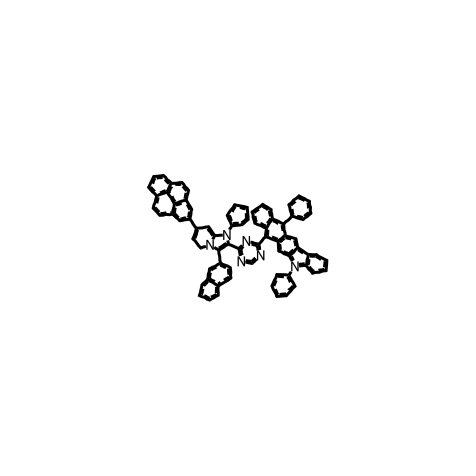 C1=C(c2cc3ccc4cccc5ccc(c2)c3c45)C=C2N(C1)C(c1ccc3ccccc3c1)=C(c1ncnc(-c3c4ccccc4c(-c4ccccc4)c4cc5c6ccccc6n(-c6ccccc6)c5cc34)n1)N2c1ccccc1